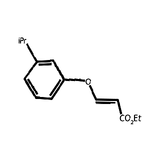 CCOC(=O)C=COc1cccc(C(C)C)c1